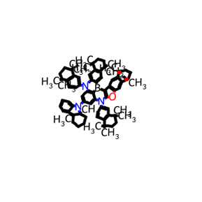 CC1(C)CCC(C)(C)c2cc(N3c4cc5c(cc4B4c6c3cc(N3c7ccccc7C7(C)CCCCC37C)cc6N(c3ccc6c(c3)C(C)(C)CCC6(C)C)c3oc6cc7c(cc6c34)C3(C)CCC7(C)CC3)C(C)(C)CCC5(C)C)ccc21